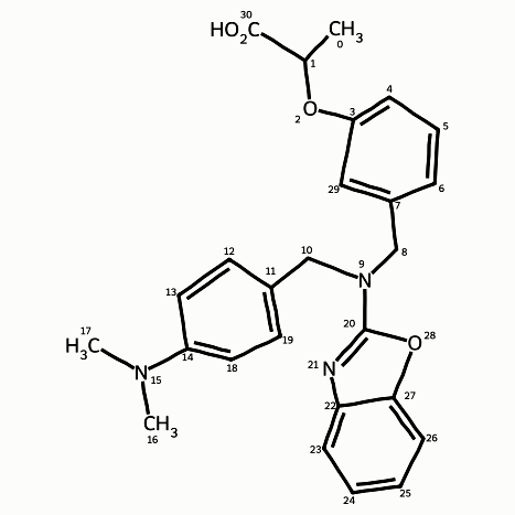 CC(Oc1cccc(CN(Cc2ccc(N(C)C)cc2)c2nc3ccccc3o2)c1)C(=O)O